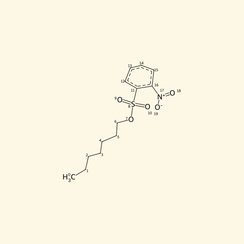 CCCCCCCOS(=O)(=O)c1ccccc1[N+](=O)[O-]